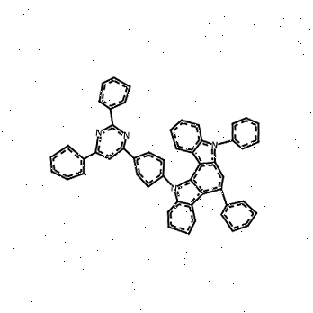 c1ccc(-c2cc(-c3ccc(-n4c5ccccc5c5c(-c6ccccc6)cc6c(c7ccccc7n6-c6ccccc6)c54)cc3)nc(-c3ccccc3)n2)cc1